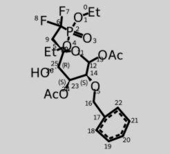 CCOP(=O)(OCC)C(F)(F)C[C@H]1OC(OC(C)=O)[C@@H](OCc2ccccc2)[C@@H](OC(C)=O)[C@@H]1O